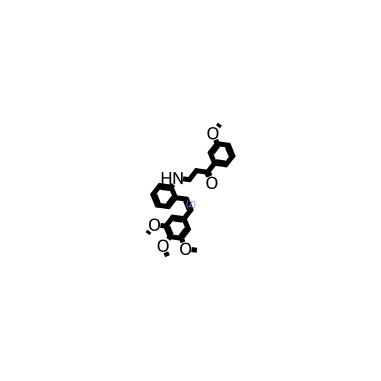 COc1cccc(C(=O)CCNc2ccccc2/C=C\c2cc(OC)c(OC)c(OC)c2)c1